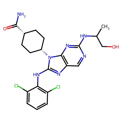 CC(CO)Nc1ncc2nc(Nc3c(Cl)cccc3Cl)n([C@H]3CC[C@@H](C(N)=O)CC3)c2n1